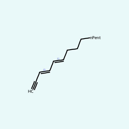 C#C/C=C/C=C/CCCCCCCC